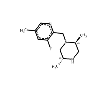 Cc1cnc(CN2C[C@@H](C)NC[C@@H]2C)c(F)c1